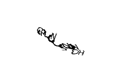 Oc1ncn2cc(Cc3cncc(CN4CCOCC4)c3)sc12